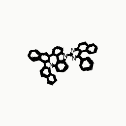 c1ccc(-c2nc(-n3c4cccc5c6cc7ccccc7c7c8ccc9ccccc9c8n(c8cccc3c8c54)c67)nc3ccc4ccccc4c23)cc1